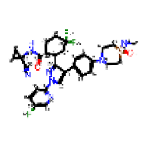 CN=S1(=O)CCN(c2ccc(-c3cn(-c4ccc(F)cn4)nc3[C@@H]3CC(F)(F)CC[C@H]3C(=O)NC3(C#N)CC3)cc2)CC1